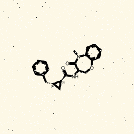 CN1C(=O)C(NC(=O)[C@H]2C[C@@H]2Cc2ccccc2)COc2ccccc21